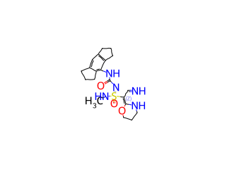 CNS(=O)(=NC(=O)Nc1c2c(cc3c1CCC3)CCC2)/C(C=N)=C1/NCCCO1